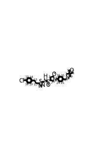 O=C1C[C@H]([S+]([O-])Nc2nnc(CCc3ccc(Cl)cc3)s2)CN1c1ccc(CN2CC3(COC3)C2)cc1